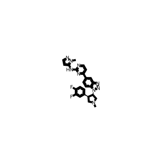 CN1C[C@@H](n2nnc3cc(-c4ccnc(Nc5ccnn5C)n4)ccc32)[C@H](c2ccc(F)c(F)c2)C1